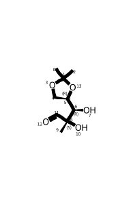 CC1(C)OC[C@H]([C@@H](O)[C@](C)(O)C=O)O1